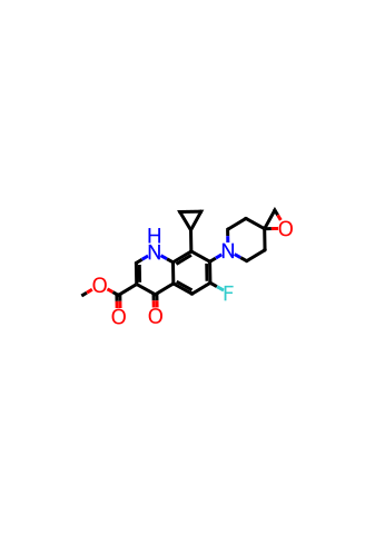 COC(=O)c1c[nH]c2c(C3CC3)c(N3CCC4(CC3)CO4)c(F)cc2c1=O